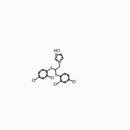 Cl.Clc1ccc(SC(Cn2ccnc2)Sc2ccc(Cl)cc2Cl)c(Cl)c1